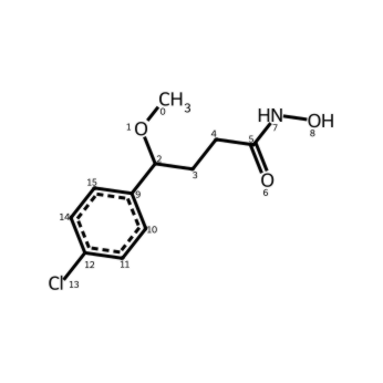 COC(CCC(=O)NO)c1ccc(Cl)cc1